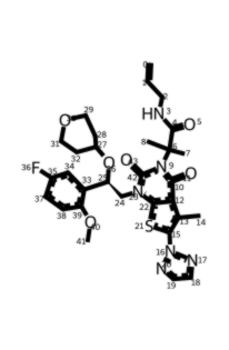 C=CCNC(=O)C(C)(C)n1c(=O)c2c(C)c(-n3nccn3)sc2n(C[C@H](OC2CCOCC2)c2cc(F)ccc2OC)c1=O